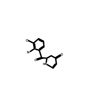 O=C1C=CNC(C(=O)c2cccc(Cl)c2Br)C1